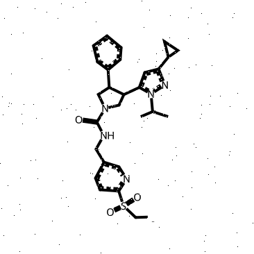 CCS(=O)(=O)c1ccc(CNC(=O)N2CC(c3ccccc3)C(c3cc(C4CC4)nn3C(C)C)C2)cn1